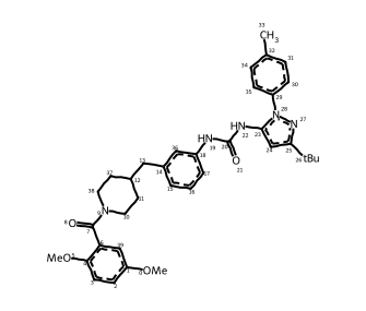 COc1ccc(OC)c(C(=O)N2CCC(Cc3cccc(NC(=O)Nc4cc(C(C)(C)C)nn4-c4ccc(C)cc4)c3)CC2)c1